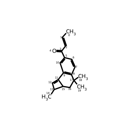 C/C=C/C(=O)c1ccc2c(c1)C1=CC(C)C1CC2(C)C